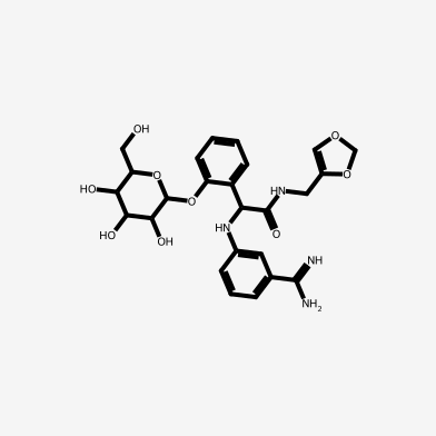 N=C(N)c1cccc(NC(C(=O)NCC2=COCO2)c2ccccc2OC2OC(CO)C(O)C(O)C2O)c1